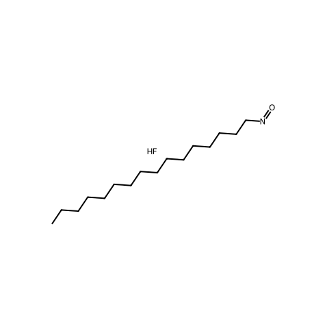 CCCCCCCCCCCCCCCCN=O.F